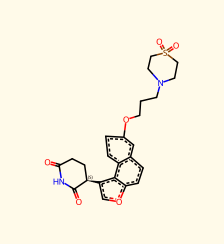 O=C1CC[C@@H](c2coc3ccc4cc(OCCCN5CCS(=O)(=O)CC5)ccc4c23)C(=O)N1